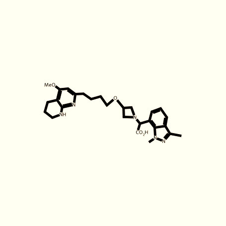 COc1cc(CCCCOC2CN(C(C(=O)O)c3cccc4c(C)nn(C)c34)C2)nc2c1CCCN2